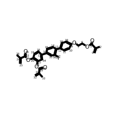 C=C(C)C(=O)OCCOc1ccc(-c2ccc(-c3ccc(OC(=O)C(=C)C)c(OC(=O)C(=C)C)c3)cc2F)cc1